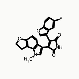 Cn1cc(C2=C(c3coc4ccc(F)cc34)C(=O)NC2=O)c2ccc3c(c21)CCO3